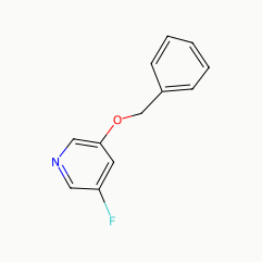 Fc1cncc(OCc2ccccc2)c1